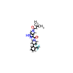 CC(C)CC(=O)N1Cc2[nH]nc(C(=O)N3CCC(c4ccccc4C(F)(F)F)CC3)c2C1